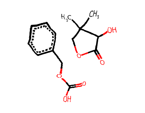 CC1(C)COC(=O)C1O.O=C(O)OCc1ccccc1